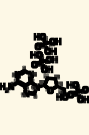 Nc1ncnc2c1ncn2[C@H]1CC[C@@H](CO)O1.O=P(O)(O)O.O=P(O)(O)O.O=P(O)(O)O